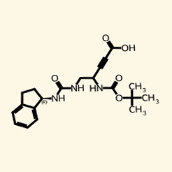 CC(C)(C)OC(=O)NC(C#CC(=O)O)CNC(=O)N[C@@H]1CCc2ccccc21